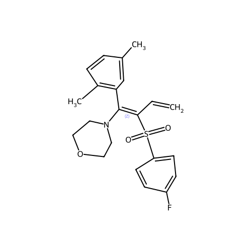 C=C/C(=C(\c1cc(C)ccc1C)N1CCOCC1)S(=O)(=O)c1ccc(F)cc1